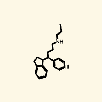 CCCNCCCC(c1ccccc1)C1CCc2ccccc21.I